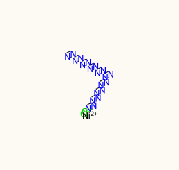 C1=NC=NC1.C1=NC=NC1.C1=NC=NC1.C1=NC=NC1.C1=NC=NC1.C1=NC=NC1.C1=NC=NC1.C1=NC=NC1.C1=NC=NC1.C1=NC=NC1.[Cl-].[Cl-].[Ni+2]